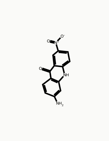 Nc1ccc2c(=O)c3cc([N+](=O)[O-])ccc3[nH]c2c1